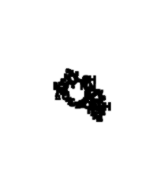 Cc1cc2cc(n1)-c1cnn(C)c1OCCC[C@@H](C)CN1/C(=N/C2=O)Nc2ccc(N[SH]3(=O)CCCC3)c(Cl)c21